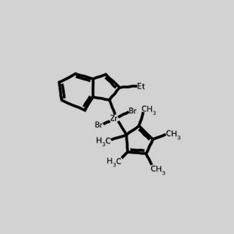 CCC1=Cc2ccccc2[CH]1[Zr]([Br])([Br])[C]1(C)C(C)=C(C)C(C)=C1C